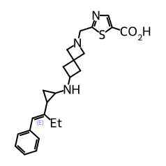 CC/C(=C\c1ccccc1)C1CC1NC1CC2(C1)CN(Cc1ncc(C(=O)O)s1)C2